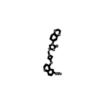 COc1ccc2nccc(OC3CN(C[C@@H]4CN(c5ccc6c(c5)OCCO6)C(=O)O4)C3)c2c1